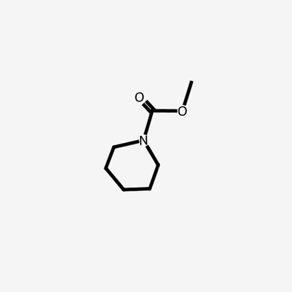 COC(=O)N1CCCCC1